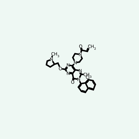 C=CC(=O)N1CCN(c2nc(OCC3CCCN3C)nc3c(=O)n(-c4cccc5cccc(Cl)c45)c(C)nc23)CC1